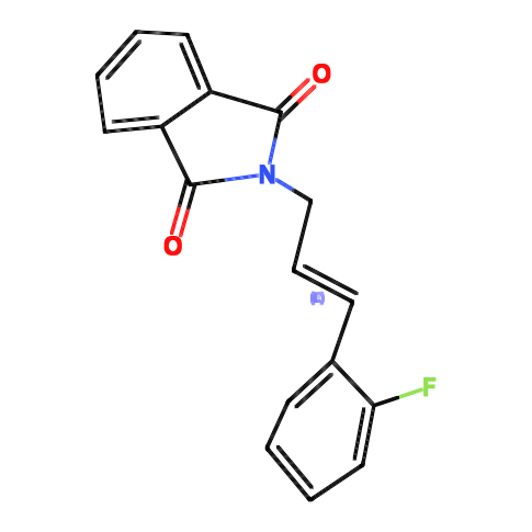 O=C1c2ccccc2C(=O)N1C/C=C/c1ccccc1F